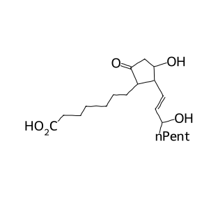 CCCCCC(O)C=CC1C(O)CC(=O)C1CCCCCCC(=O)O